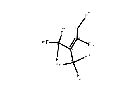 FCC(F)=C(C(F)(F)F)C(F)(F)F